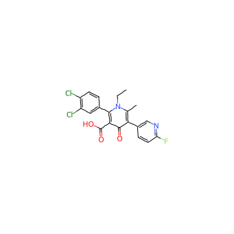 CCn1c(C)c(-c2ccc(F)nc2)c(=O)c(C(=O)O)c1-c1ccc(Cl)c(Cl)c1